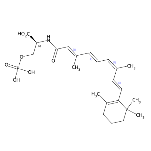 CC1=C(/C=C/C(C)=C\C=C\C(C)=C\C(=O)N[C@@H](COP(=O)(O)O)C(=O)O)C(C)(C)CCC1